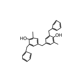 Cc1cc(Cc2cc(C)c(O)c(Cc3ccccc3)c2)cc(Cc2ccccc2)c1O